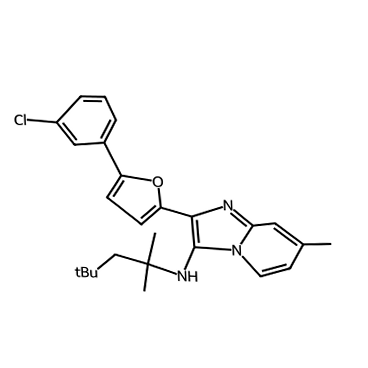 Cc1ccn2c(NC(C)(C)CC(C)(C)C)c(-c3ccc(-c4cccc(Cl)c4)o3)nc2c1